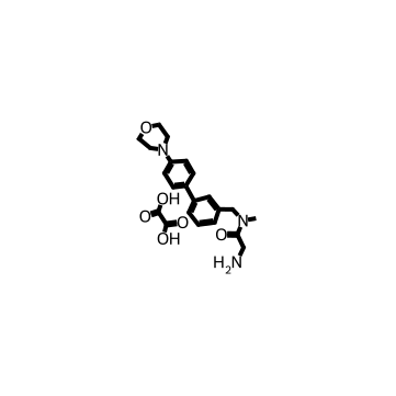 CN(Cc1cccc(-c2ccc(N3CCOCC3)cc2)c1)C(=O)CN.O=C(O)C(=O)O